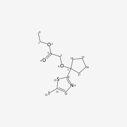 CCOC(=O)COC1(c2ncc(I)s2)CCCC1